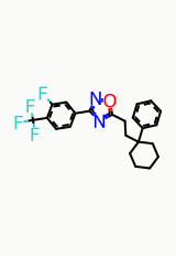 Fc1cc(-c2noc(CCC3(c4ccccc4)CCCCC3)n2)ccc1C(F)(F)F